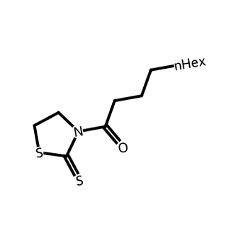 CCCCCCCCCC(=O)N1CCSC1=S